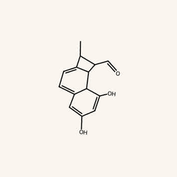 CC1C2=CC=C3C=C(O)C=C(O)C3C2C1C=O